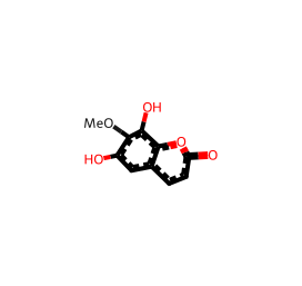 COc1c(O)cc2ccc(=O)oc2c1O